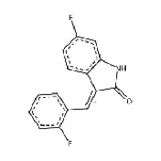 O=C1Nc2cc(F)ccc2/C1=C\c1ccccc1F